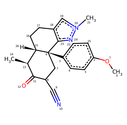 COc1ccc([C@@]23CC(C#N)C(=O)[C@@H](C)[C@@H]2CCc2cn(C)nc23)cc1